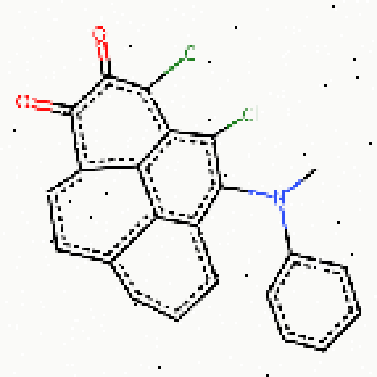 CN(c1ccccc1)c1c(Cl)c2c(Cl)c(=O)c(=O)c3ccc4cccc1c4c23